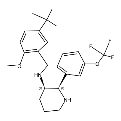 COc1ccc(C(C)(C)C)cc1CN[C@@H]1CCCN[C@@H]1c1cccc(OC(F)(F)F)c1